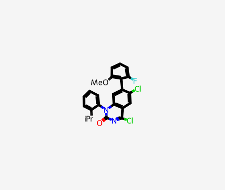 COc1cccc(F)c1-c1cc2c(cc1Cl)c(Cl)nc(=O)n2-c1ccccc1C(C)C